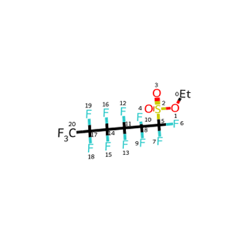 CCOS(=O)(=O)C(F)(F)C(F)(F)C(F)(F)C(F)(F)C(F)(F)C(F)(F)F